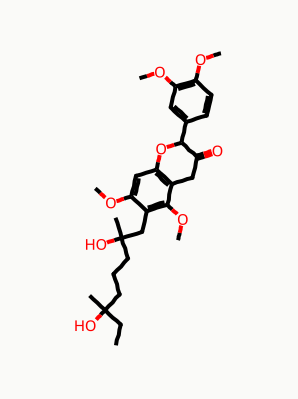 CCC(C)(O)CCCC(C)(O)Cc1c(OC)cc2c(c1OC)CC(=O)C(c1ccc(OC)c(OC)c1)O2